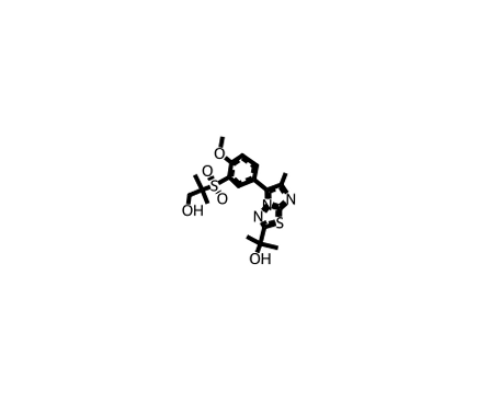 COc1ccc(-c2c(C)nc3sc(C(C)(C)O)nn23)cc1S(=O)(=O)C(C)(C)CO